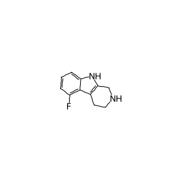 Fc1cccc2[nH]c3c(c12)CCNC3